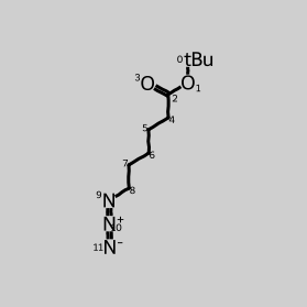 CC(C)(C)OC(=O)CCCCCN=[N+]=[N-]